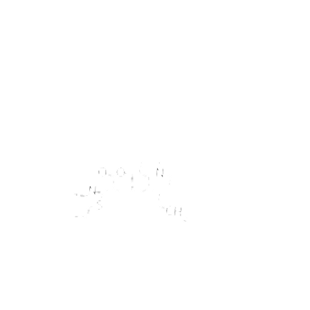 C=CC1CCN2CCCc3c2c1cc1cc(-c2nc4ccccc4s2)c(=O)oc31